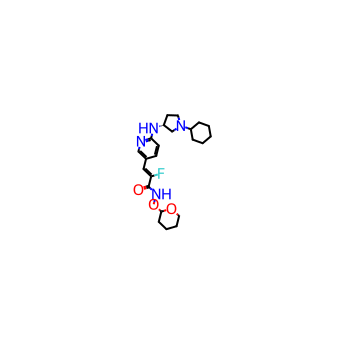 O=C(NOC1CCCCO1)/C(F)=C/c1ccc(N[C@@H]2CCN(C3CCCCC3)C2)nc1